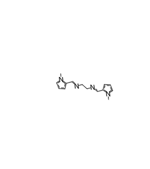 Cn1cccc1C=NCCN=Cc1cccn1C